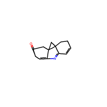 O=C1CC=C2N=C3C=CCCC34CC24C1